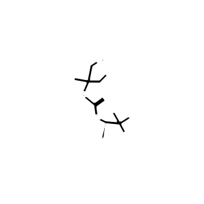 C[C@@H](OC(=O)NC(C)(CO)CO)C(C)(C)C